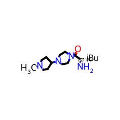 CC[C@@H](C)[C@H](N)C(=O)N1CCN(C2CCN(C)CC2)CC1